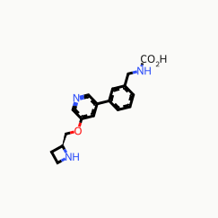 O=C(O)NCc1cccc(-c2cncc(OC[C@@H]3CCN3)c2)c1